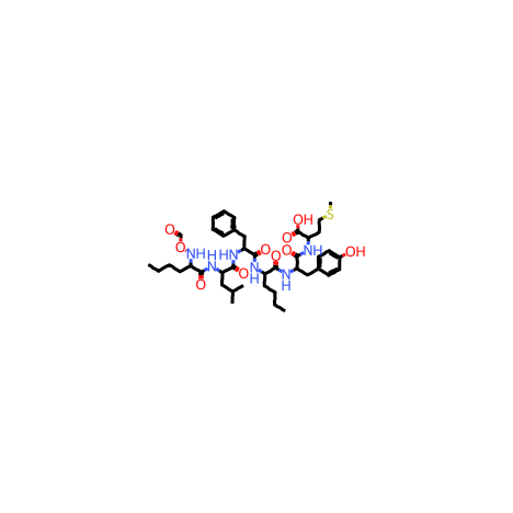 CCCCC(NOC=O)C(=O)NC(CC(C)C)C(=O)NC(Cc1ccccc1)C(=O)NC(CCCC)C(=O)NC(Cc1ccc(O)cc1)C(=O)NC(CCSC)C(=O)O